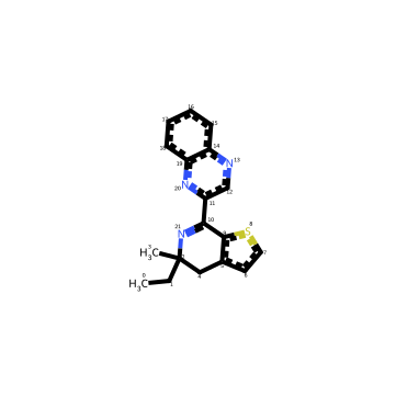 CCC1(C)Cc2ccsc2C(c2cnc3ccccc3n2)=N1